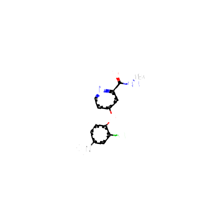 CC(C)(C)NC(=O)c1cc(Oc2ccc([N+](=O)[O-])cc2Cl)ccn1